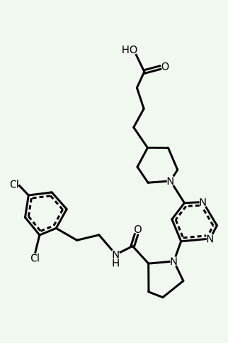 O=C(O)CCCC1CCN(c2cc(N3CCCC3C(=O)NCCc3ccc(Cl)cc3Cl)ncn2)CC1